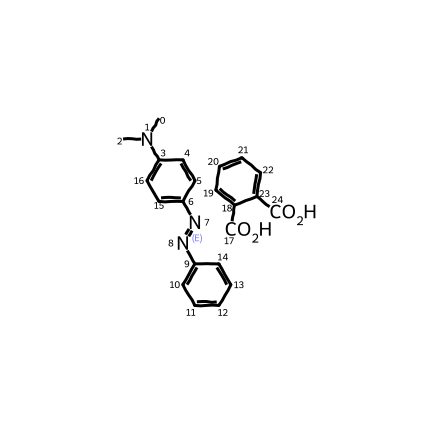 CN(C)c1ccc(/N=N/c2ccccc2)cc1.O=C(O)c1ccccc1C(=O)O